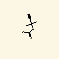 C#CC(C)(C)OC(=O)Cl